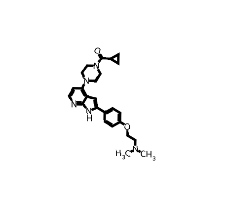 CN(C)CCOc1ccc(-c2cc3c(N4CCN(C(=O)C5CC5)CC4)ccnc3[nH]2)cc1